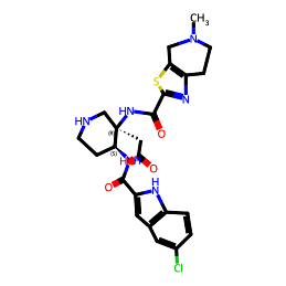 CN1CCc2nc(C(=O)N[C@]3(CC(=O)O)CNCC[C@@H]3NC(=O)c3cc4cc(Cl)ccc4[nH]3)sc2C1